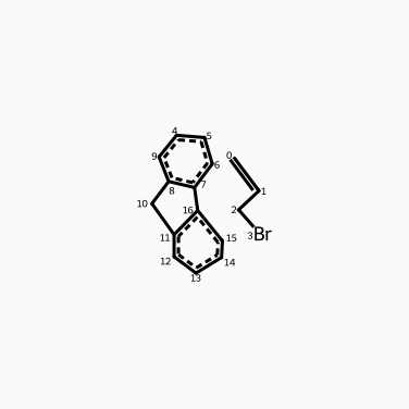 C=CCBr.c1ccc2c(c1)Cc1ccccc1-2